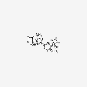 Cc1ccc(-c2nc(C3(O)CCC3)c(N)o2)nc1C1(O)CCC1